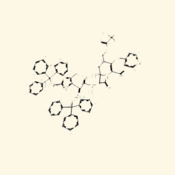 CC(C)(C)C(=O)OCC1C[C@@H]2[C@H](NC(=O)C(=NOC(c3ccccc3)(c3ccccc3)c3ccccc3)c3nc(NC(c4ccccc4)(c4ccccc4)c4ccccc4)sc3Cl)C(=O)N2C(C(=O)O)=C1Sc1ccncc1